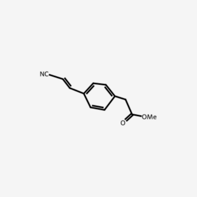 COC(=O)Cc1ccc(C=CC#N)cc1